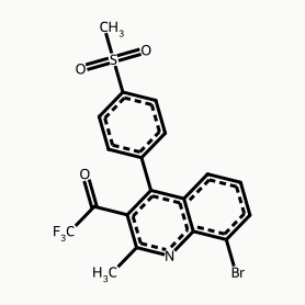 Cc1nc2c(Br)cccc2c(-c2ccc(S(C)(=O)=O)cc2)c1C(=O)C(F)(F)F